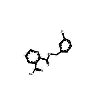 O=C(O)c1cccnc1C(=O)NCc1cccc(F)c1